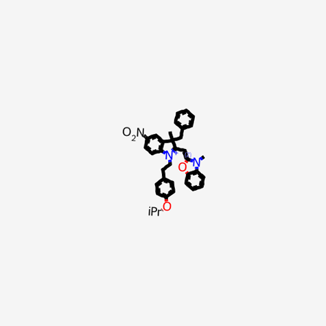 CC(C)Oc1ccc(CC[N+]2=C(/C=C3\Oc4ccccc4N3C)C(C)(Cc3ccccc3)c3cc([N+](=O)[O-])ccc32)cc1